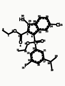 CCOC(=O)c1c(P(=O)(OCC)c2cc(F)cc(C(C)C)c2)c2cc(Cl)ccc2n1S